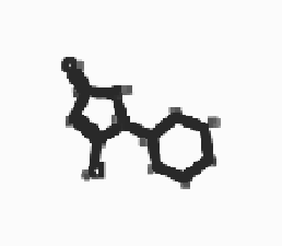 O=c1cc(Cl)n(C2CCCCC2)s1